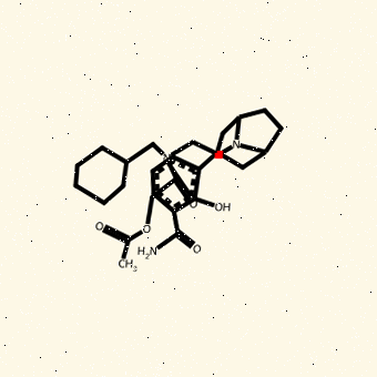 CC(=O)OCC(=O)N(CCN1C2CCC1CC(c1cccc(C(N)=O)c1O)C2)CC1CCCCC1